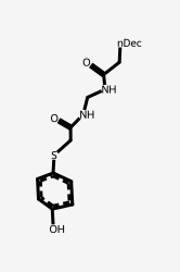 CCCCCCCCCCCC(=O)NCNC(=O)CSc1ccc(O)cc1